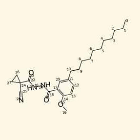 CCCCCCCCCCCc1ccc(OC)c(C(=O)NNC(=O)C2(C#N)CC2)c1